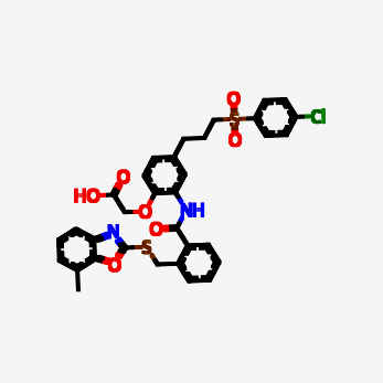 Cc1cccc2nc(SCc3ccccc3C(=O)Nc3cc(CCCS(=O)(=O)c4ccc(Cl)cc4)ccc3OCC(=O)O)oc12